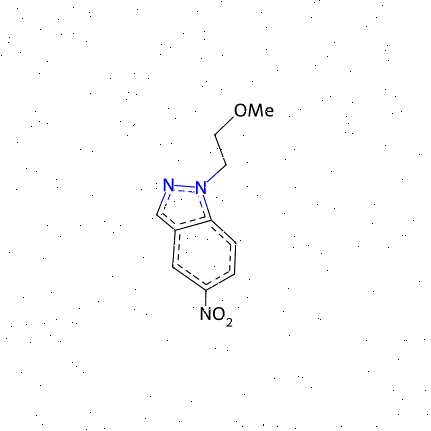 COCCn1ncc2cc([N+](=O)[O-])ccc21